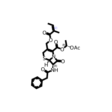 C/C=C(/C)C(=O)OCC1=C(C(=O)O[C@H](C)OC(C)=O)N2C(=O)[C@@H](NC(=O)Cc3ccccc3)[C@H]2SC1